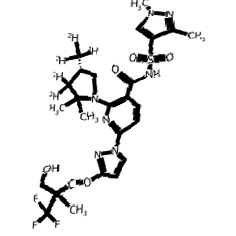 [2H]C([2H])([2H])[C@@H]1CN(c2nc(-n3ccc(OCC(C)(CO)C(F)(F)F)n3)ccc2C(=O)NS(=O)(=O)c2cn(C)nc2C)C(C)(C)C1([2H])[2H]